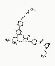 CCCn1cncc1C[S+]([O-])c1ccc(NC(=O)C2=Cc3cc(-c4ccc(OCCOCC)cc4)ccc3N(CC(C)C)CCC2)cc1